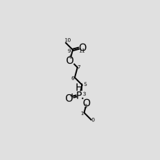 CCO[PH](=O)CCCOC(C)=O